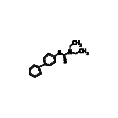 CCN(CC)C(=S)Sc1ccc(-c2ccccc2)cc1